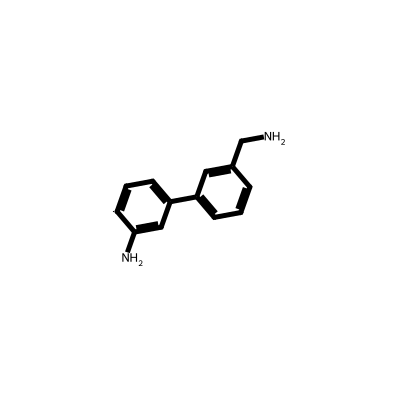 NCc1cccc(-c2cc[c]c(N)c2)c1